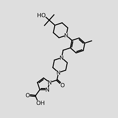 Cc1ccc(CN2CCN(C(=O)n3ccc(C(=O)O)n3)CC2)c(N2CCC(C(C)(C)O)CC2)c1